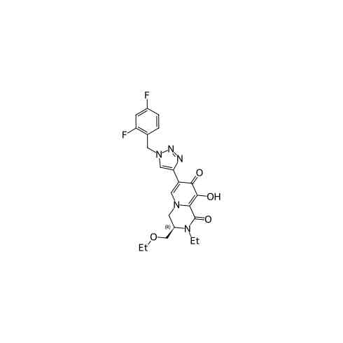 CCOC[C@H]1Cn2cc(-c3cn(Cc4ccc(F)cc4F)nn3)c(=O)c(O)c2C(=O)N1CC